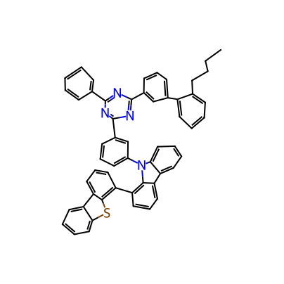 CCCCc1ccccc1-c1cccc(-c2nc(-c3ccccc3)nc(-c3cccc(-n4c5ccccc5c5cccc(-c6cccc7c6sc6ccccc67)c54)c3)n2)c1